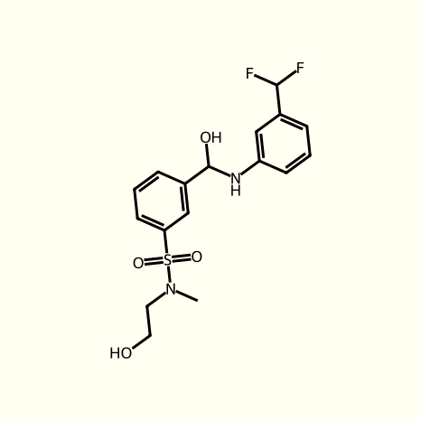 CN(CCO)S(=O)(=O)c1cccc(C(O)Nc2cccc(C(F)F)c2)c1